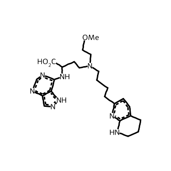 COCCN(CCCCc1ccc2c(n1)NCCC2)CCC(Nc1ncnc2cn[nH]c12)C(=O)O